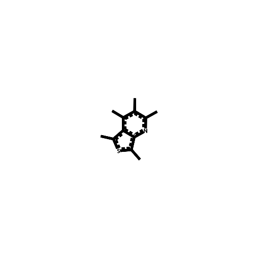 Cc1nc2c(C)sc(C)c2c(C)c1C